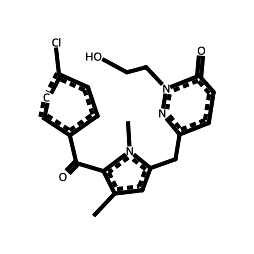 Cc1cc(Cc2ccc(=O)n(CCO)n2)n(C)c1C(=O)c1ccc(Cl)cc1